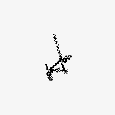 COCCOCCOCCOCCOCCC1(C)C(/C=C/C=C/C=C/C=C2/N(CCOC)c3ccc(S(=O)(=O)O)cc3C2(C)CCCS(=O)(=O)O)=[N+](CCCCCC(=O)O)c2ccc(S(=O)(=O)O)cc21